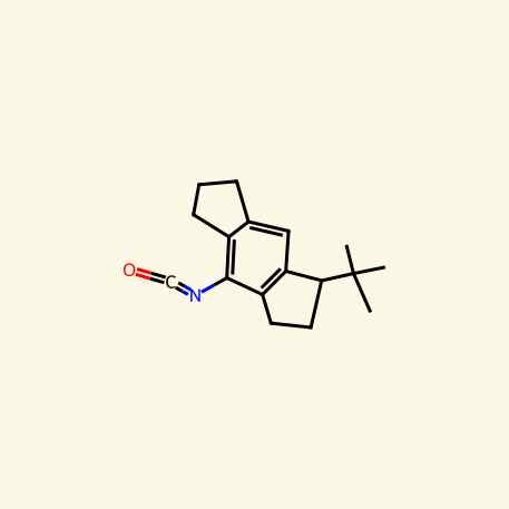 CC(C)(C)C1CCc2c1cc1c(c2N=C=O)CCC1